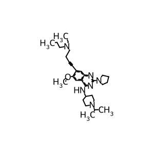 CCCN(CC)CCC#Cc1cc2nc(N3CCCC3)nc(NC3CCN(C(C)C)CC3)c2cc1OC